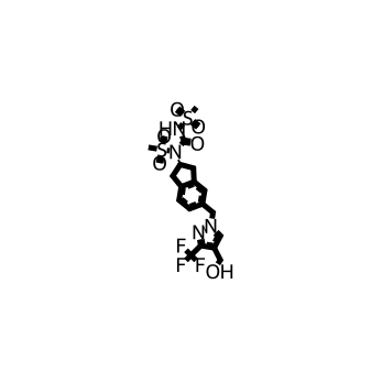 CS(=O)(=O)NC(=O)N([C@H]1Cc2ccc(Cn3cc(CO)c(C(F)(F)F)n3)cc2C1)S(C)(=O)=O